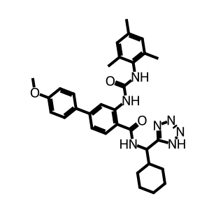 COc1ccc(-c2ccc(C(=O)NC(c3nnn[nH]3)C3CCCCC3)c(NC(=O)Nc3c(C)cc(C)cc3C)c2)cc1